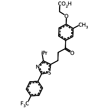 Cc1cc(C(=O)CCc2sc(-c3ccc(C(F)(F)F)cc3)nc2C(C)C)ccc1OCC(=O)O